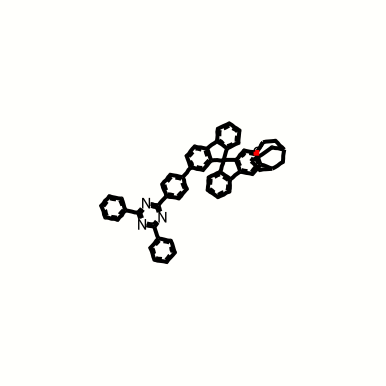 c1ccc(-c2nc(-c3ccccc3)nc(-c3ccc(-c4ccc5c(c4)C4(c6ccccc6-5)c5ccccc5-c5cc6c(cc54)C4CC5CC(CC6C5)C4)cc3)n2)cc1